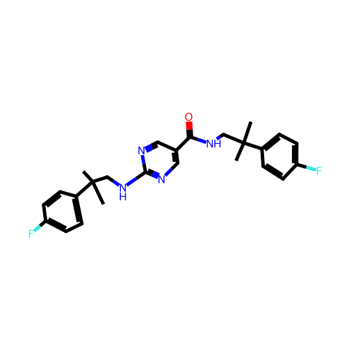 CC(C)(CNC(=O)c1cnc(NCC(C)(C)c2ccc(F)cc2)nc1)c1ccc(F)cc1